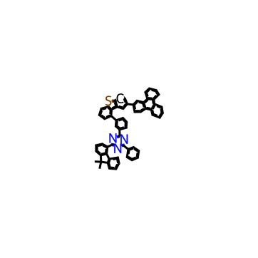 CC1(C)c2ccccc2-c2c(-c3nc(-c4ccccc4)nc(-c4cccc(-c5cccc6sc7ccc(-c8ccc9c%10ccccc%10c%10ccccc%10c9c8)cc7c56)c4)n3)cccc21